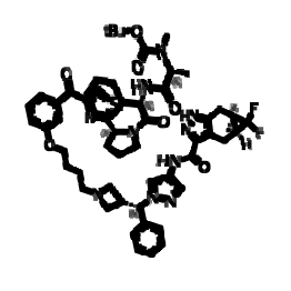 C[C@@H](C(=O)N[C@H](C(=O)N1CCC[C@H]1c1nc(C(=O)c2cccc(OCCCCN3CC([C@@H](c4ccccc4)n4cc(NC(=O)c5n[nH]c6c5C[C@@H]5C(F)(F)[C@]5(C)C6)cn4)C3)c2)cs1)C1CCCCC1)N(C)C(=O)OC(C)(C)C